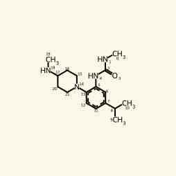 CNC(=O)Nc1cc(C(C)C)ccc1N1CCC(NC)CC1